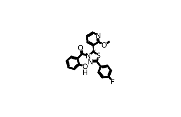 COc1ncccc1[C@H]1SC(c2ccc(F)cc2)=NN1C(=O)c1ccccc1O